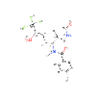 Cc1ccc(C(=O)N(C)C(CCC(O)C(F)(F)F)C(C)CNC=O)cc1